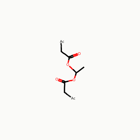 CC(=O)CC(=O)OC(C)OC(=O)CC(C)=O